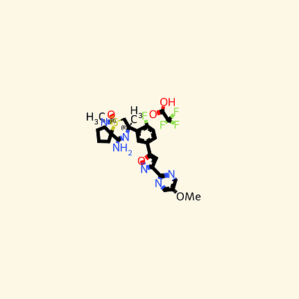 CN=[S@@]1(=O)C[C@@](C)(c2cc(-c3cc(-c4ncc(OC)cn4)no3)ccc2F)N=C(N)C12CCCC2.O=C(O)C(F)(F)F